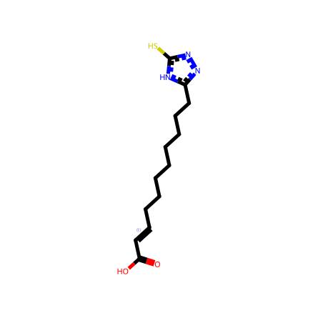 O=C(O)/C=C/CCCCCCCCc1nnc(S)[nH]1